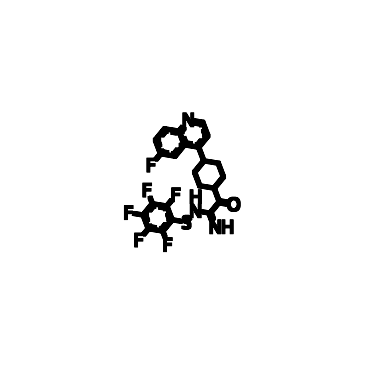 N=C(NSc1c(F)c(F)c(F)c(F)c1F)C(=O)C1CCC(c2ccnc3ccc(F)cc23)CC1